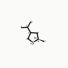 CC(C)C1CS[C@H](C)C1